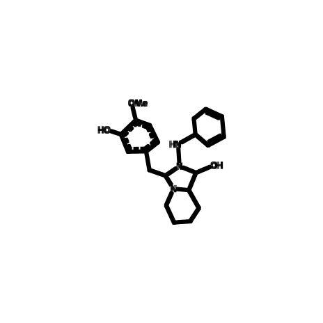 COc1ccc(CC2N3CCCCC3C(O)N2NC2C=CC=CC2)cc1O